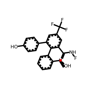 C=Cc1ccccc1-c1c(C(=NO)NF)cc(C(F)(F)F)cc1-c1ccc(O)cc1